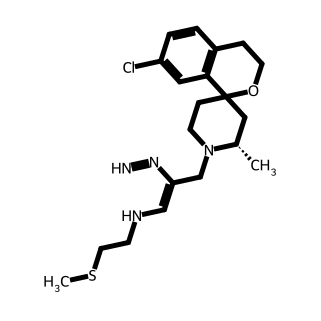 CSCCN/C=C(/CN1CCC2(C[C@@H]1C)OCCc1ccc(Cl)cc12)N=N